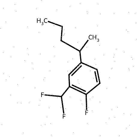 CCCC(C)c1ccc(F)c(C(F)F)c1